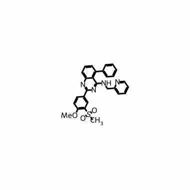 COc1ccc(-c2nc(NCc3ccccn3)c3c(-c4ccccc4)cccc3n2)cc1S(C)(=O)=O